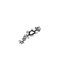 CN1CCCC1c1cn2cc(NC(=O)c3ccc(-c4ncon4)cc3)ccc2n1